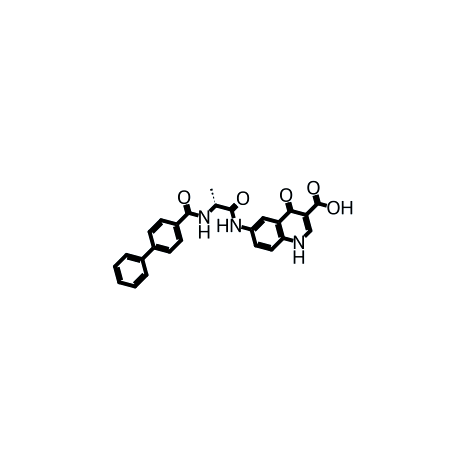 C[C@@H](NC(=O)c1ccc(-c2ccccc2)cc1)C(=O)Nc1ccc2[nH]cc(C(=O)O)c(=O)c2c1